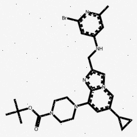 Cc1cc(NCc2cn3cc(C4CC4)cc(N4CCN(C(=O)OC(C)(C)C)CC4)c3n2)cc(Br)n1